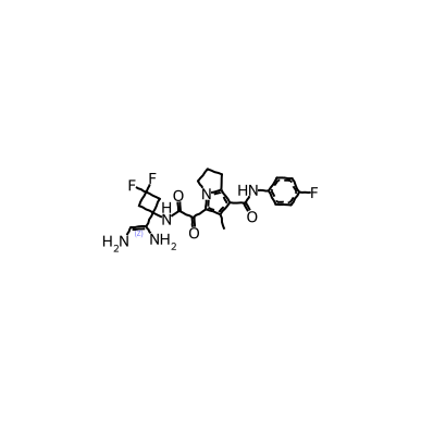 Cc1c(C(=O)Nc2ccc(F)cc2)c2n(c1C(=O)C(=O)NC1(/C(N)=C/N)CC(F)(F)C1)CCC2